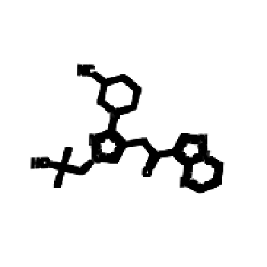 CC(C)(O)Cn1cc(CC(=O)c2cnn3cccnc23)c(N2CCCC(C#N)C2)n1